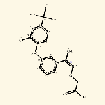 C/C(=N/OCC(=O)O)c1cccc(Oc2ccc(C(F)(F)F)cc2Cl)c1